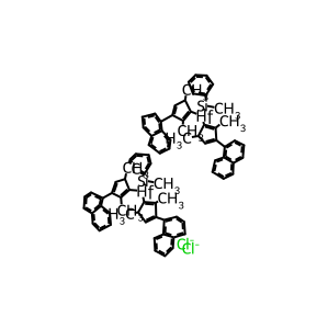 CC1=[C]([Hf]([C]2=C(C)C(c3cccc4ccccc34)=CC2C)=[Si](C)c2ccccc2)C(C)C=C1c1cccc2ccccc12.CC1=[C]([Hf]([C]2=C(C)C(c3cccc4ccccc34)=CC2C)=[Si](C)c2ccccc2)C(C)C=C1c1cccc2ccccc12.[Cl-].[Cl-]